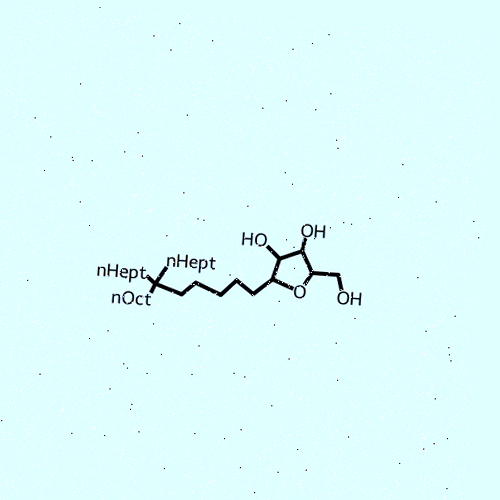 CCCCCCCCC(CCCCCCC)(CCCCCCC)CCCCCC1OC(CO)C(O)C1O